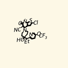 CCC(c1ccc(OC(F)(F)F)cn1)C1(O)CCN(c2c(C#N)c(=O)n(C)c3sc(Cl)cc23)CC1